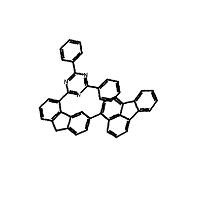 c1ccc(-c2nc(-c3ccccc3)nc(-c3cccc4c3-c3cc(-c5ccc6c7c(cccc57)-c5ccccc5-6)ccc3C4)n2)cc1